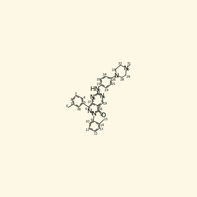 Cc1cccc(-c2nn(-c3ccccc3C)c(=O)c3cnc(Nc4ccc(N5CCN(C)CC5)cc4)nc23)c1